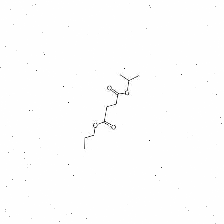 CCCOC(=O)CCC(=O)OC(C)C